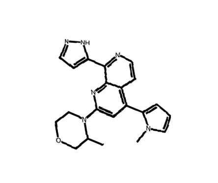 CC1COCCN1c1cc(-c2cccn2C)c2ccnc(-c3ccn[nH]3)c2n1